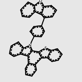 c1ccc2c(c1)oc1cccc(-c3ccc(-n4c5ccccc5c5c6ccccc6c6c7ccccc7sc6c54)cc3)c12